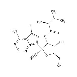 CC(C)[C@H](N)C(=O)O[C@@H]1[C@H](O)[C@@H](CO)O[C@@]1(C#N)c1cc(F)c2c(N)ncnn12